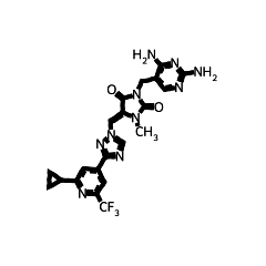 CN1C(=O)N(Cc2cnc(N)nc2N)C(=O)/C1=C/n1cnc(-c2cc(C3CC3)nc(C(F)(F)F)c2)n1